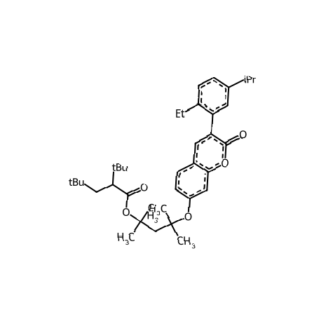 CCc1ccc(C(C)C)cc1-c1cc2ccc(OC(C)(C)CC(C)(C)OC(=O)C(CC(C)(C)C)C(C)(C)C)cc2oc1=O